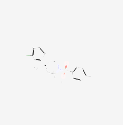 Cc1ccc(S(=O)(=O)N2CCC(C#N)(c3ccc(F)c(F)c3)C[C@@H]2C)cc1